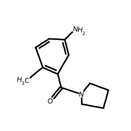 Cc1ccc(N)cc1C(=O)N1CCCC1